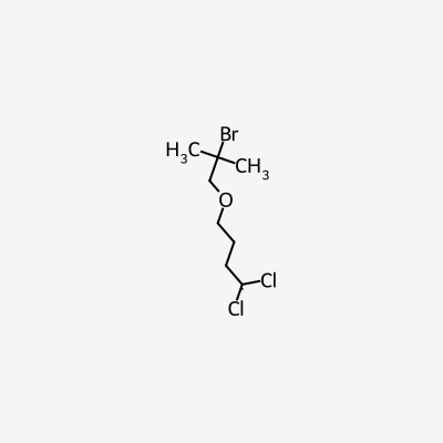 CC(C)(Br)COCCC[C](Cl)Cl